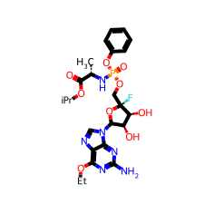 CCOc1nc(N)nc2c1ncn2C1O[C@](F)(COP(=O)(N[C@@H](C)C(=O)OC(C)C)Oc2ccccc2)[C@@H](O)[C@H]1O